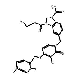 NC(=O)N1CN(C(=O)CCO)c2cc(Cn3ccc(OCc4ccc(F)cc4F)c(Cl)c3=O)ccc21